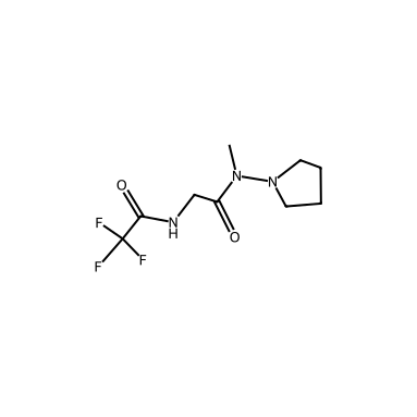 CN(C(=O)CNC(=O)C(F)(F)F)N1CCCC1